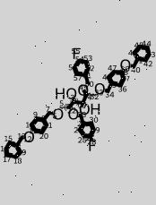 O[C@@H]([C@H](O)[C@@H](COCc1ccc(OCc2ccccc2)cc1)OCc1ccc(F)cc1)[C@@H](COCc1ccc(OCc2ccccc2)cc1)OCc1ccc(F)cc1